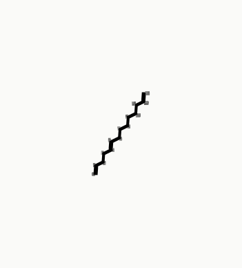 C=CCCC=CCCCCCCC=C